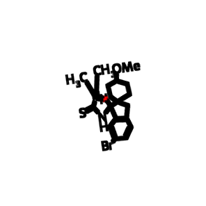 COC1CCC2(CC1)Cc1ccc(Br)cc1C21NC(=S)N2CC(C)(C)CN=C21